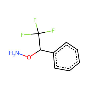 NOC(c1ccccc1)C(F)(F)F